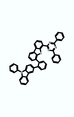 c1ccc(-c2nc(-c3ccccc3)nc(-c3cccc4c3sc3c(-c5ccccc5-c5ccc6c(c5)c5ccccc5n6-c5ccccc5)cccc34)n2)cc1